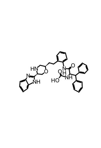 O=C(O)NC(C(=O)Nc1ccccc1CC[C@@H]1CN[C@H](c2nc3ccccc3[nH]2)CO1)C(c1ccccc1)c1ccccc1